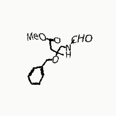 COC(=O)CC(C)(CNC=O)OCc1ccccc1